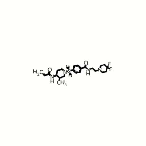 C=CC(=O)NC1CCN(S(=O)(=O)c2ccc(C(=O)NCCN3CCC(F)(F)CC3)cc2)CC1C